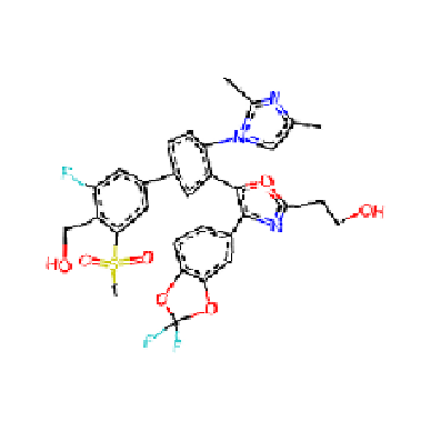 Cc1cn(-c2ccc(-c3cc(F)c(CO)c(S(C)(=O)=O)c3)cc2-c2oc(CCO)nc2-c2ccc3c(c2)OC(F)(F)O3)c(C)n1